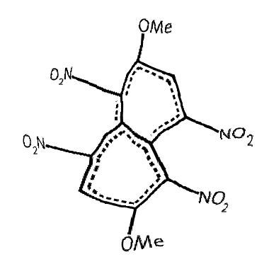 COc1cc([N+](=O)[O-])c2c([N+](=O)[O-])c(OC)cc([N+](=O)[O-])c2c1[N+](=O)[O-]